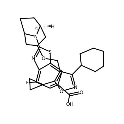 O=C(O)c1cc(F)c2nc(N3C4CC[C@H]3CC(OCc3c(C5CCCCC5)noc3C3CC3)C4)sc2c1